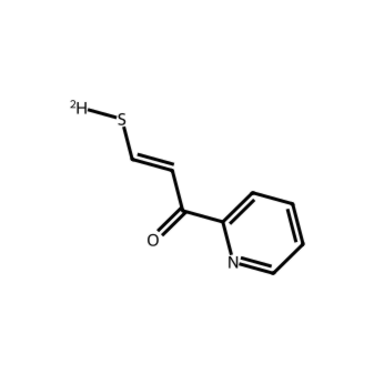 [2H]S/C=C/C(=O)c1ccccn1